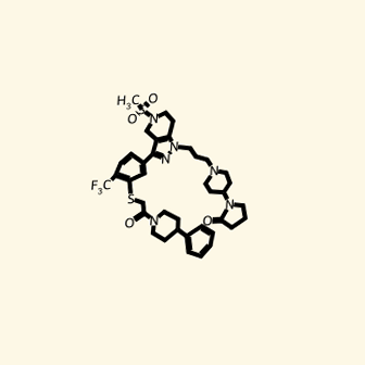 CS(=O)(=O)N1CCc2c(c(-c3ccc(C(F)(F)F)c(SCC(=O)N4CCC(c5ccccc5)CC4)c3)nn2CCCN2CCC(N3CCCC3=O)CC2)C1